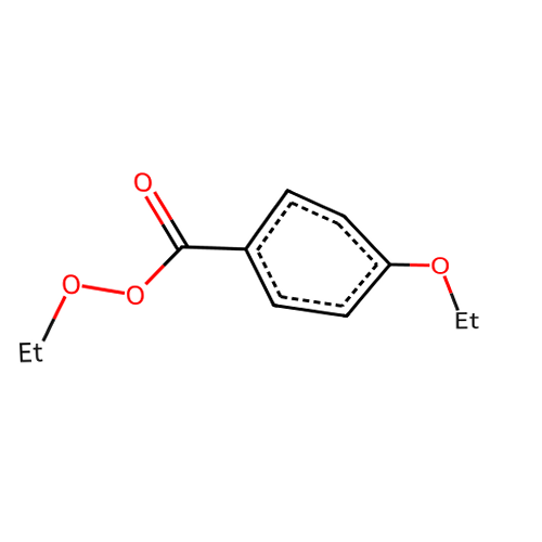 [CH2]COOC(=O)c1ccc(OCC)cc1